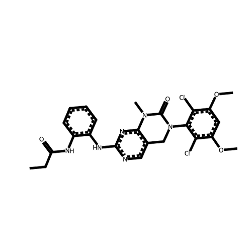 CCC(=O)Nc1ccccc1Nc1ncc2c(n1)N(C)C(=O)N(c1c(Cl)c(OC)cc(OC)c1Cl)C2